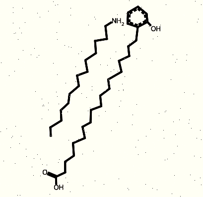 CCCCCCCCCCCCCCN.O=C(O)CCCCCCCCCCCCCCCCCc1ccccc1O